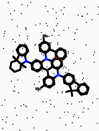 Cc1cc2c3c(c1)N(c1ccc(C(C)(C)C)cc1-c1ccccc1)c1cc(N4c5ccccc5C5(C)CCCCC45C)ccc1B3c1cc(C(C)(C)C)ccc1N2c1ccc2c(c1)C(C)(C)c1ccccc1-2